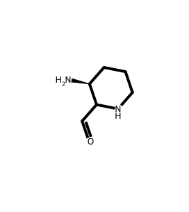 N[C@H]1CCCNC1C=O